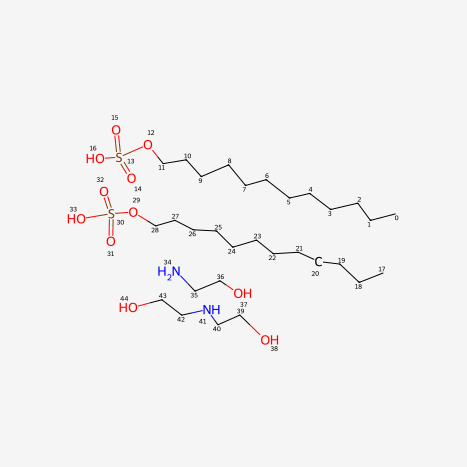 CCCCCCCCCCCCOS(=O)(=O)O.CCCCCCCCCCCCOS(=O)(=O)O.NCCO.OCCNCCO